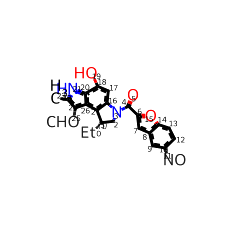 CC[C@@H]1CN(C(=O)c2cc3cc(N=O)ccc3o2)c2cc(O)c3[nH]c(C)c(C=O)c3c21